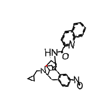 C[C@H]1CC23CCC(NC(=O)c4ccc5ccccc5n4)C1C21CCN(CC2CC2)C3Cc2ccc(N=O)cc21